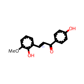 COc1cccc(/C=C/C(=O)c2ccc(O)cc2)c1O